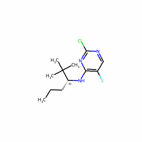 CCC[C@@H](Nc1nc(Cl)ncc1F)C(C)(C)C